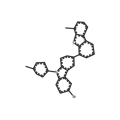 Cc1ccc(-n2c3ccc(Br)cc3c3cc(-c4cccc5c4sc4c(C)cccc45)ccc32)cc1